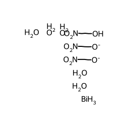 O.O.O.O.O.O=[N+]([O-])O.O=[N+]([O-])[O-].O=[N+]([O-])[O-].[BiH3]